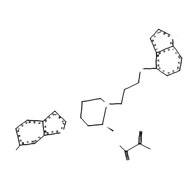 C[C@H]1C[C@H](c2cc3ccc(F)cc3s2)CCN1C[C@H](O)COc1cccc2[nH]ccc12.O=C(O)C(=O)O